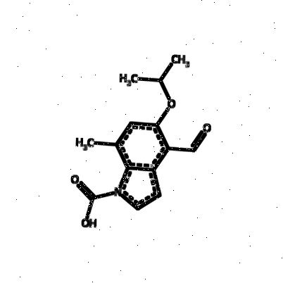 Cc1cc(OC(C)C)c(C=O)c2ccn(C(=O)O)c12